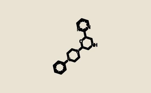 c1ccc(N2CCN(C3CNCC(c4ncccn4)O3)CC2)cc1